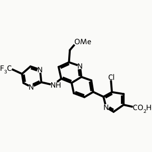 COCc1cc(Nc2ncc(C(F)(F)F)cn2)c2ccc(-c3ncc(C(=O)O)cc3Cl)cc2n1